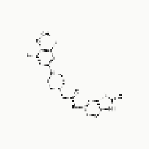 COc1c(F)cc(N2CCN(CC(=O)Nc3ccc4[nH]c(=O)oc4c3)CC2)cc1F